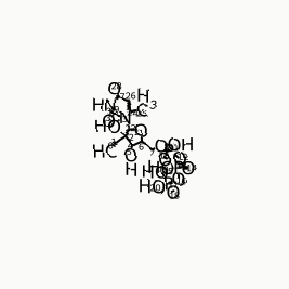 C#C[C@@]1(O)C(O)C(COP(=O)(O)OP(=O)(O)OP(=O)(O)O)O[C@H]1n1c(C)cc(=O)[nH]c1=O